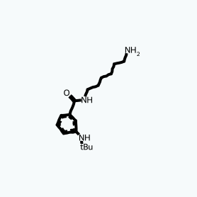 CC(C)(C)Nc1cccc(C(=O)NCCCCCCN)c1